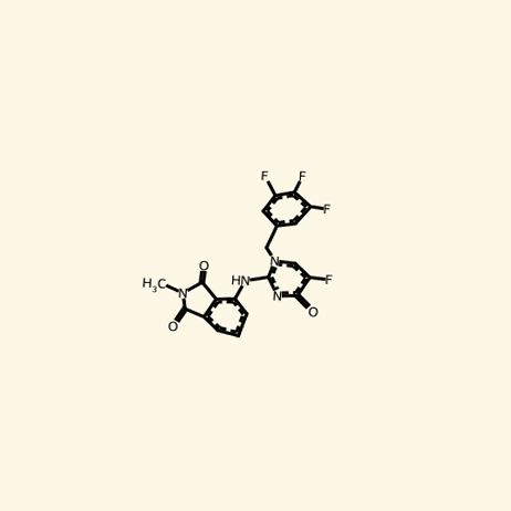 CN1C(=O)c2cccc(Nc3nc(=O)c(F)cn3Cc3cc(F)c(F)c(F)c3)c2C1=O